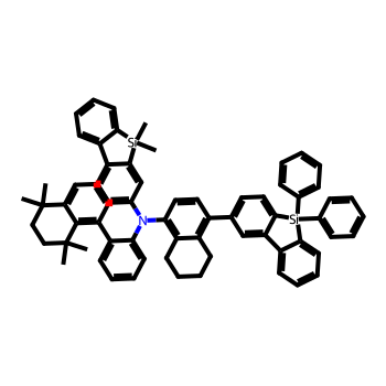 CC1(C)CCC(C)(C)c2c(-c3ccccc3N(c3ccc4c(c3)[Si](C)(C)c3ccccc3-4)c3ccc(-c4ccc5c(c4)-c4ccccc4[Si]5(c4ccccc4)c4ccccc4)c4c3CCCC4)cccc21